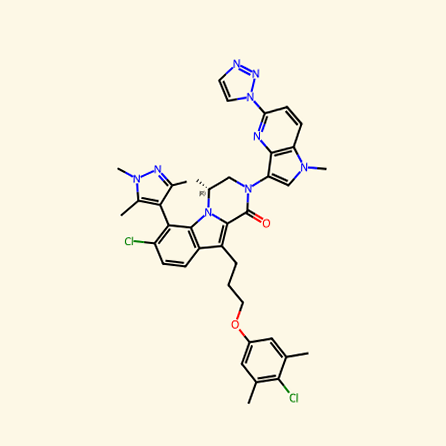 Cc1cc(OCCCc2c3n(c4c(-c5c(C)nn(C)c5C)c(Cl)ccc24)[C@H](C)CN(c2cn(C)c4ccc(-n5ccnn5)nc24)C3=O)cc(C)c1Cl